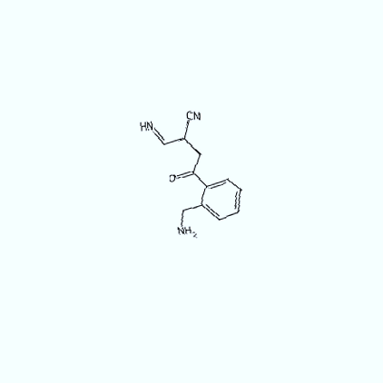 N#CC(C=N)CC(=O)c1ccccc1CN